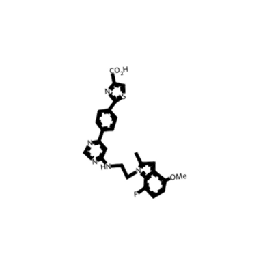 COc1ccc(F)c2c1cc(C)n2CCNc1cc(-c2ccc(-c3nc(C(=O)O)cs3)cc2)ncn1